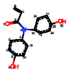 C=CC(=O)N(c1ccc(O)cc1)c1ccc(O)cc1